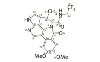 COc1cc2c(=O)n3c4c(cnc5[nH]cc(c54)C(C)C3C(=O)NCC(F)(F)F)c2cc1OC